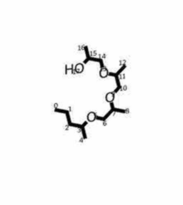 CCCC(C)OCC(C)OCC(C)OCC(C)O